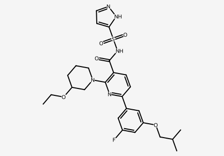 CCOC1CCCN(c2nc(-c3cc(F)cc(OCC(C)C)c3)ccc2C(=O)NS(=O)(=O)c2ccn[nH]2)C1